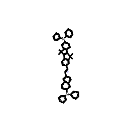 CC1(C)C2=C(c3ccc(/C=C/c4ccc5cc(N(c6ccccc6)c6ccccc6)ccc5c4)cc31)C(C)(C)c1cc(N(c3ccccc3)c3ccccc3)ccc12